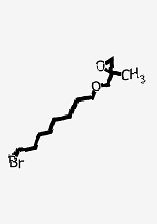 CC1(COCCCCCCCCBr)CO1